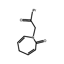 CC(C)C(=O)CN1C=CCC=CC1=O